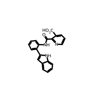 O=C(O)c1cccnc1C(=O)Nc1ccccc1-c1cc2ccccc2[nH]1